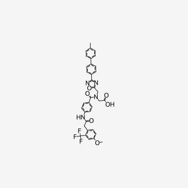 COc1ccc(CC(=O)Nc2ccc(C(=O)N(CC(=O)O)Cc3nc(-c4ccc(-c5ccc(C)cc5)cc4)no3)cc2)c(C(F)(F)F)c1